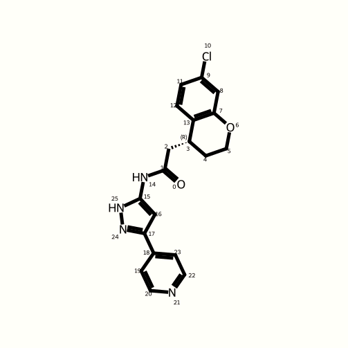 O=C(C[C@H]1CCOc2cc(Cl)ccc21)Nc1cc(-c2ccncc2)n[nH]1